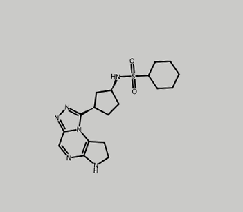 O=S(=O)(N[C@H]1CC[C@@H](c2nnc3cnc4c(n23)CCN4)C1)C1CCCCC1